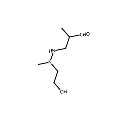 CC(C=O)CNN(C)CCO